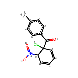 Cc1ccc(C(=O)C2(Cl)C=CC=CC2[N+](=O)[O-])cc1